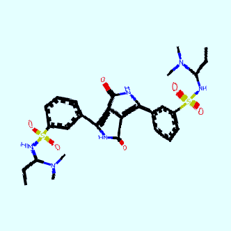 CCC(NS(=O)(=O)c1cccc(C2=C3C(=O)NC(c4cccc(S(=O)(=O)NC(CC)N(C)C)c4)=C3C(=O)N2)c1)N(C)C